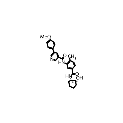 COc1ccc(-c2cncc(C(=O)Nc3cc(C(=O)N[C@H]4CCCC[C@@H]4O)ccc3C)c2)cc1